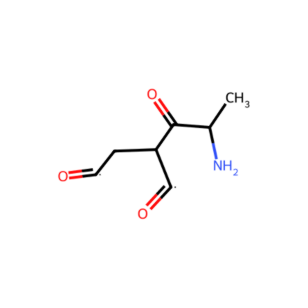 CC(N)C(=O)C([C]=O)C[C]=O